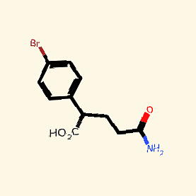 NC(=O)CCC(C(=O)O)c1ccc(Br)cc1